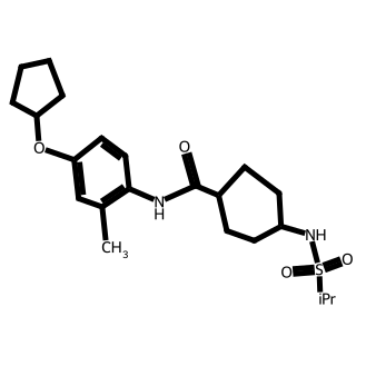 Cc1cc(OC2CCCC2)ccc1NC(=O)C1CCC(NS(=O)(=O)C(C)C)CC1